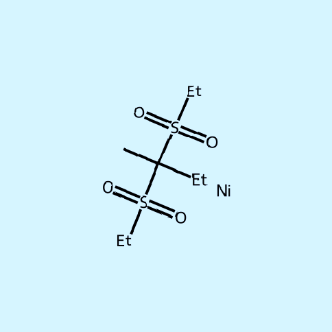 CCC(C)(S(=O)(=O)CC)S(=O)(=O)CC.[Ni]